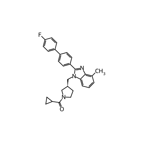 Cc1cccc2c1nc(-c1ccc(-c3ccc(F)cc3)cc1)n2C[C@H]1CCN(C(=O)C2CC2)C1